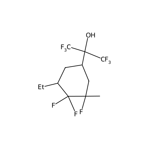 CCC1CC(C(O)(C(F)(F)F)C(F)(F)F)CC(C)(F)C1(F)F